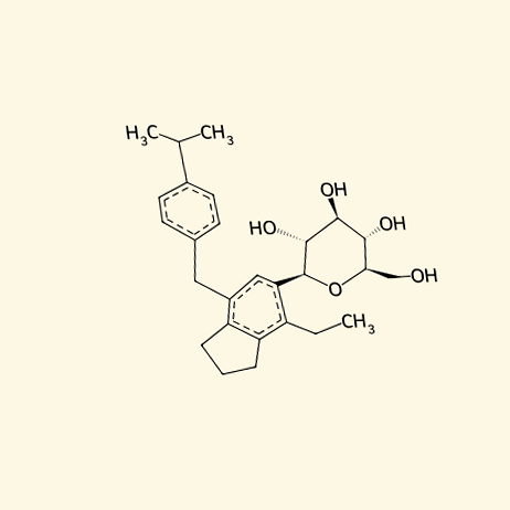 CCc1c([C@@H]2O[C@H](CO)[C@@H](O)[C@H](O)[C@H]2O)cc(Cc2ccc(C(C)C)cc2)c2c1CCC2